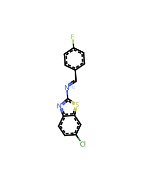 Fc1ccc(/C=N/c2nc3ccc(Cl)cc3s2)cc1